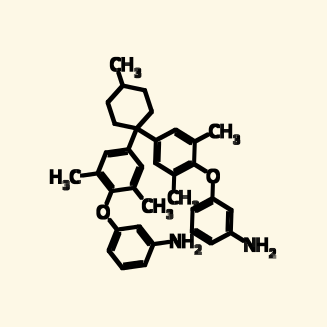 Cc1cc(C2(c3cc(C)c(Oc4cccc(N)c4)c(C)c3)CCC(C)CC2)cc(C)c1Oc1cccc(N)c1